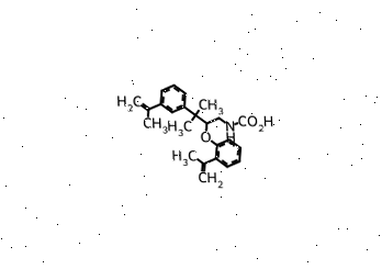 C=C(C)c1cccc(C(C)(C)C(CNC(=O)O)Oc2ccccc2C(=C)C)c1